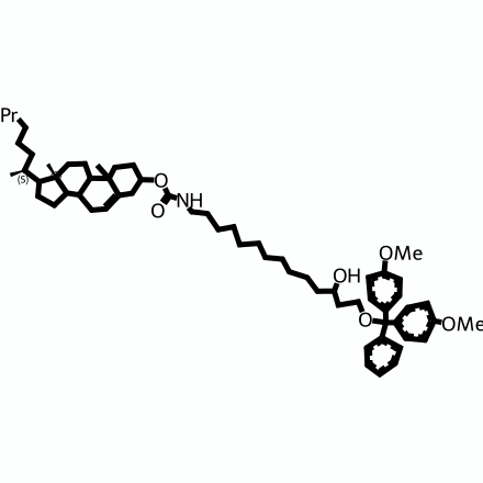 COc1ccc(C(OCCC(O)CCCCCCCCCCCNC(=O)OC2CCC3(C)C(=CCC4C3CC[C@]3(C)C4CCC3[C@@H](C)CCCC(C)C)C2)(c2ccccc2)c2ccc(OC)cc2)cc1